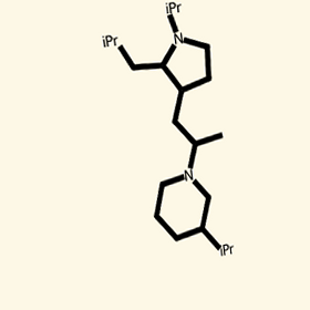 CC(C)CC1C(CC(C)N2CCCC(C(C)C)C2)CCN1C(C)C